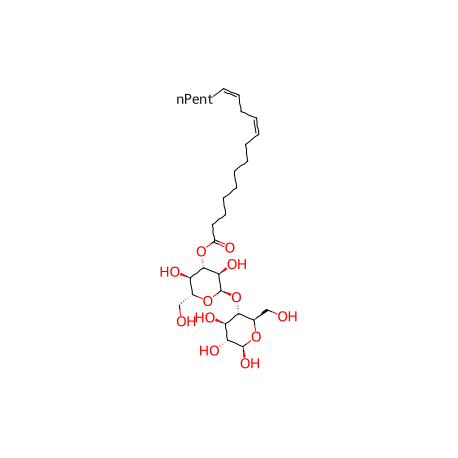 CCCCC/C=C\C/C=C\CCCCCCCC(=O)O[C@@H]1[C@@H](O)[C@@H](O[C@H]2[C@H](O)[C@@H](O)[C@H](O)O[C@@H]2CO)O[C@H](CO)[C@H]1O